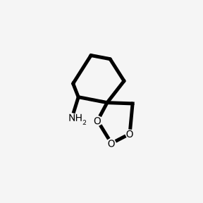 NC1CCCCC12COOO2